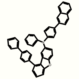 c1ccc(-c2ccc(-c3cccc4oc5ccc(N(c6ccccc6)c6ccc(-c7ccc8ccccc8c7)cc6)cc5c34)cc2)cc1